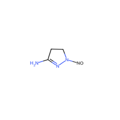 NC1=NN(N=O)CC1